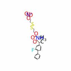 CC(C(=O)NC(=O)OCCSSCCO[N+](=O)[O-])c1ccc(-c2ccccc2)c(F)c1